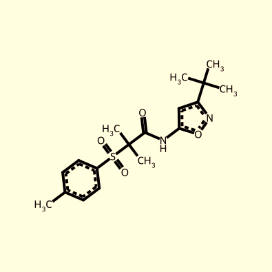 Cc1ccc(S(=O)(=O)C(C)(C)C(=O)Nc2cc(C(C)(C)C)no2)cc1